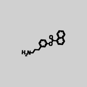 NCCCc1cccc(OC(=O)c2cccc3ccccc23)c1